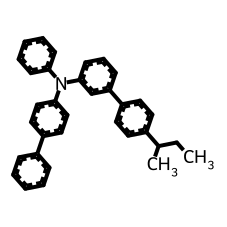 CCC(C)c1ccc(-c2cccc(N(c3ccccc3)c3ccc(-c4ccccc4)cc3)c2)cc1